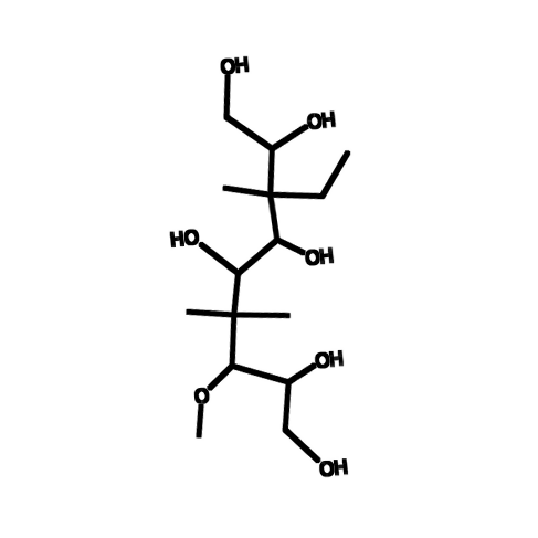 CCC(C)(C(O)CO)C(O)C(O)C(C)(C)C(OC)C(O)CO